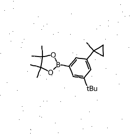 CC(C)(C)c1cc(B2OC(C)(C)C(C)(C)O2)cc(C2(C)CC2)c1